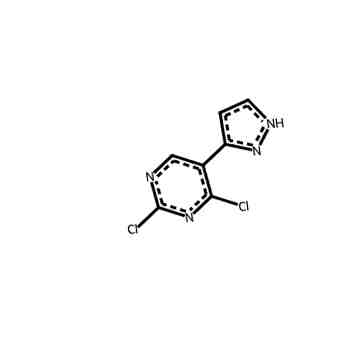 Clc1ncc(-c2cc[nH]n2)c(Cl)n1